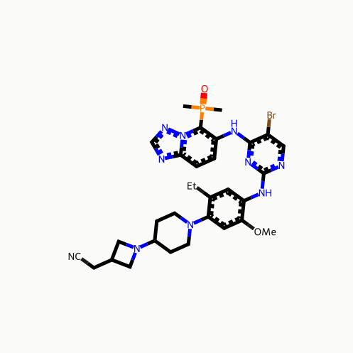 CCc1cc(Nc2ncc(Br)c(Nc3ccc4ncnn4c3P(C)(C)=O)n2)c(OC)cc1N1CCC(N2CC(CC#N)C2)CC1